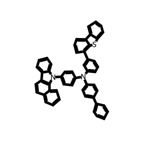 c1ccc(-c2ccc(N(c3ccc(-n4c5ccccc5c5ccc6ccccc6c54)cc3)c3cccc(-c4cccc5c4sc4ccccc45)c3)cc2)cc1